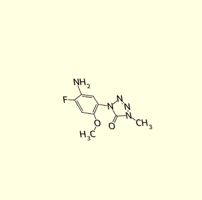 COc1cc(F)c(N)cc1-n1nnn(C)c1=O